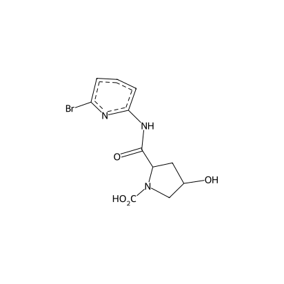 O=C(Nc1cccc(Br)n1)C1CC(O)CN1C(=O)O